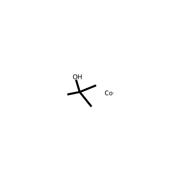 CC(C)(C)O.[Co]